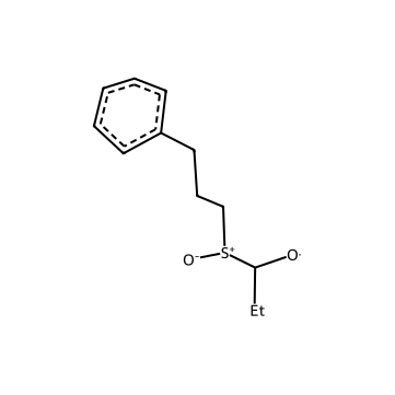 CCC([O])[S+]([O-])CCCc1ccccc1